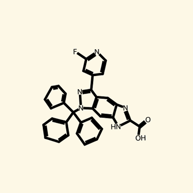 O=C(O)c1nc2cc3c(-c4ccnc(F)c4)nn(C(c4ccccc4)(c4ccccc4)c4ccccc4)c3cc2[nH]1